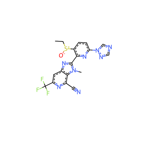 CC[S+]([O-])c1ccc(-n2cncn2)nc1-c1nc2cc(C(F)(F)F)nc(C#N)c2n1C